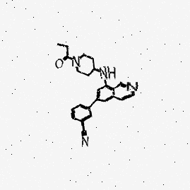 CCC(=O)N1CCC(Nc2cc(-c3cccc(C#N)c3)cc3ccncc23)CC1